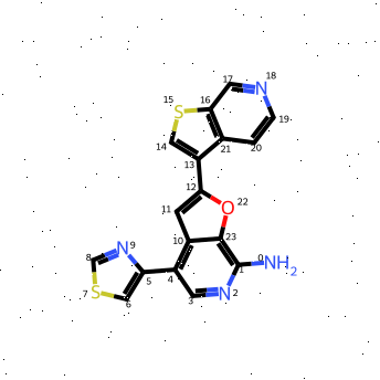 Nc1ncc(-c2cscn2)c2cc(-c3csc4cnccc34)oc12